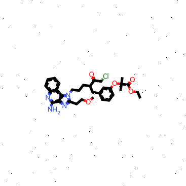 CCOC(=O)C(C)(C)Oc1cccc(CC(CCCn2c(CCOC)nc3c(N)nc4ccccc4c32)C(=O)CCl)c1